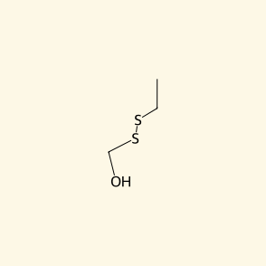 CCSSCO